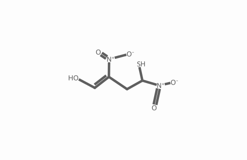 O=[N+]([O-])C(=CO)CC(S)[N+](=O)[O-]